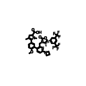 COc1ccc(-c2c(C)cc(C(=O)O)n2C)cc1-c1ccc(N2CCC2)nc1CN1C(=O)O[C@H](c2cc(C(F)(F)F)cc(C(F)(F)F)c2)[C@@H]1C